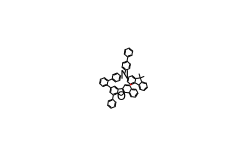 CC1(C)c2ccccc2-c2ccc(N(c3ccc(-c4ccccc4)cc3)c3ccc(-c4ccccc4-c4cc(-c5ccccc5)c5oc6c7ccccc7ccc6c5c4)cc3)cc21